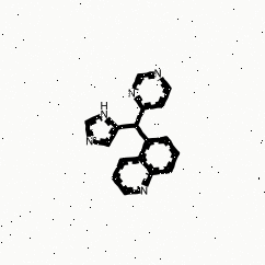 c1cc(C(c2ccncn2)c2cnc[nH]2)c2cccnc2c1